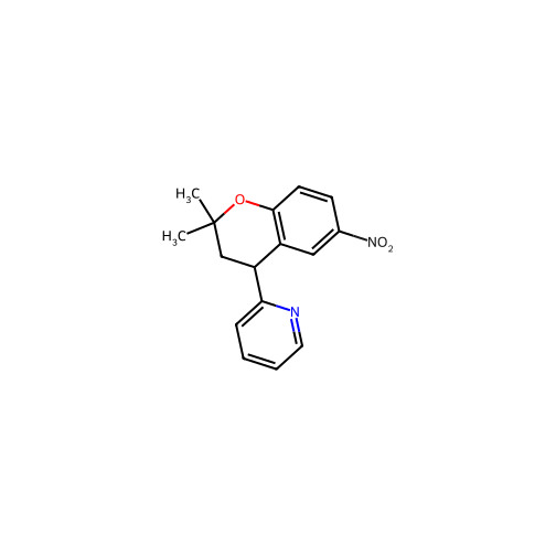 CC1(C)CC(c2ccccn2)c2cc([N+](=O)[O-])ccc2O1